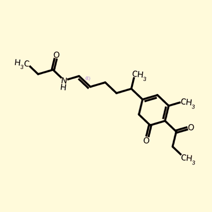 CCC(=O)N/C=C/CCC(C)C1=CC(C)=C(C(=O)CC)C(=O)C1